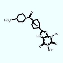 CCCn1c(=O)c2[nH]c(C34CCC(C(=O)N5CCC(C(=O)O)CC5)(CC3)CC4)nc2n(CCC)c1=O